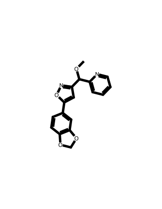 COC(c1ccccn1)c1cc(-c2ccc3c(c2)OCO3)on1